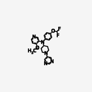 COc1ccncc1N(c1ccc(OC(F)F)cc1)C1CCN(c2cncnc2)CC1